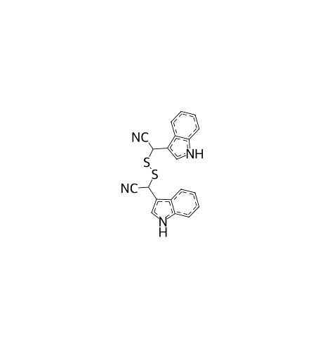 N#CC(SSC(C#N)c1c[nH]c2ccccc12)c1c[nH]c2ccccc12